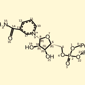 CC(C)OP(=O)(OC[C@H]1O[C@@H]([n+]2cccc(C(N)=O)c2)[C@H](O)[C@@H]1O)OC(C)C